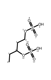 CCC(CCOS(=O)(=O)O)OS(=O)(=O)O